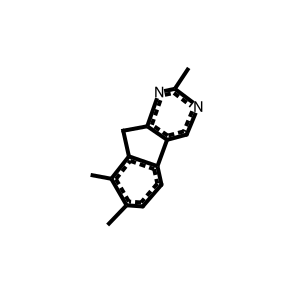 Cc1ncc2c(n1)Cc1c-2ccc(C)c1C